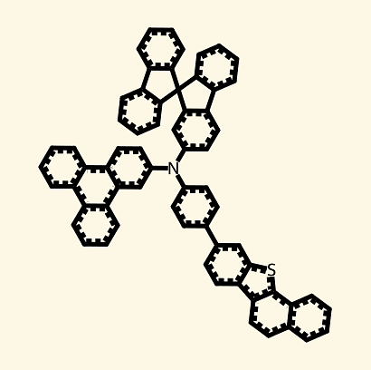 c1ccc2c(c1)-c1ccccc1C21c2ccccc2-c2ccc(N(c3ccc(-c4ccc5c(c4)sc4c6ccccc6ccc54)cc3)c3ccc4c5ccccc5c5ccccc5c4c3)cc21